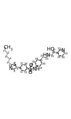 CCCCCCc1ncc(-c2ccc(S(=O)(=O)Nc3ccc(CCNCC(O)c4cccnc4)cc3)cc2)s1